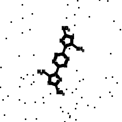 Nc1nc([N+](=O)[O-])nn1-c1nnc(-n2nc([N+](=O)[O-])nc2N)nn1